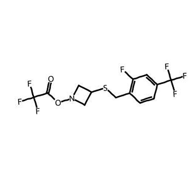 O=C(ON1CC(SCc2ccc(C(F)(F)F)cc2F)C1)C(F)(F)F